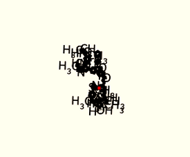 Cc1cc(F)c(Nc2nc(-c3ccc4c(c3)N([C@H]3C[C@@H](N5CCCCC5)C3)C(=O)C43CCN(C(=O)CCC4CCCN(CC(=O)NC(C(=O)N5C[C@H](O)C[C@H]5C(=O)N[C@@H](C)c5ccc(-c6scnc6C)cc5)C(C)(C)C)C4)CC3)cc3ncn(C(C)C)c23)cc1C(=O)NC(C)C